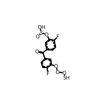 O=C(c1ccc(F)c(OOOS)c1)c1ccc(F)c(OS(=O)O)c1